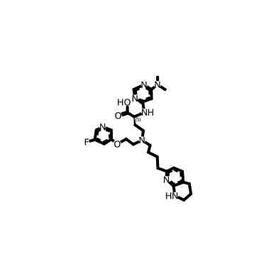 CN(C)c1cc(N[C@@H](CCN(CCCCc2ccc3c(n2)NCCC3)CCOc2cncc(F)c2)C(=O)O)ncn1